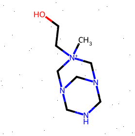 C[N+]1(CCO)CN2CNCN(C2)C1